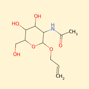 C=CCOC1OC(CO)C(O)C(O)C1NC(C)=O